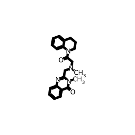 CN(CC(=O)N1CCCc2ccccc21)Cc1nc2ccccc2c(=O)n1C